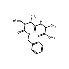 CCCCCN(C(=O)OCc1ccccc1)C(C)C(=O)NC(C)C(=O)OC